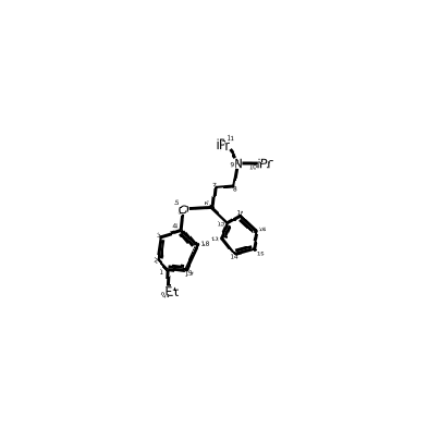 CCc1ccc(OC(CCN(C(C)C)C(C)C)c2ccccc2)cc1